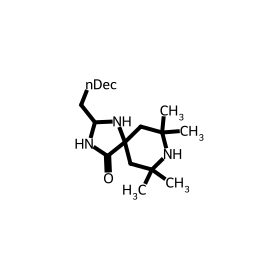 CCCCCCCCCCCC1NC(=O)C2(CC(C)(C)NC(C)(C)C2)N1